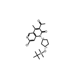 CC(=O)c1c(C)c2cnc(Cl)cc2n([C@@H]2CC[C@H](O[Si](C)(C)C(C)(C)C)C2)c1=O